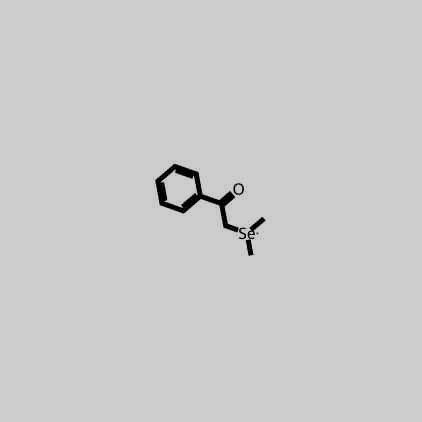 C[Se](C)CC(=O)c1ccccc1